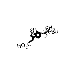 CCCCN(C)C(=O)Oc1ccc2c(CCC(=O)O)cn(C)c2c1